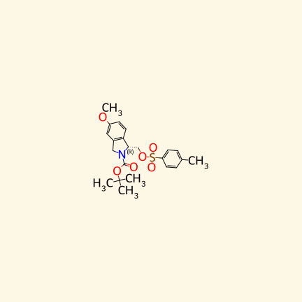 COc1ccc2c(c1)CN(C(=O)OC(C)(C)C)[C@H]2COS(=O)(=O)c1ccc(C)cc1